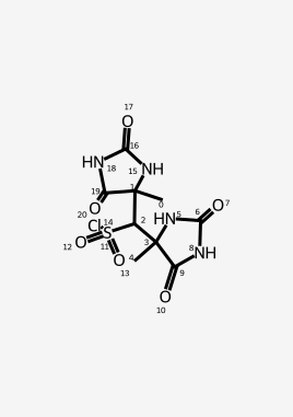 CC1(C(C2(C)NC(=O)NC2=O)S(=O)(=O)Cl)NC(=O)NC1=O